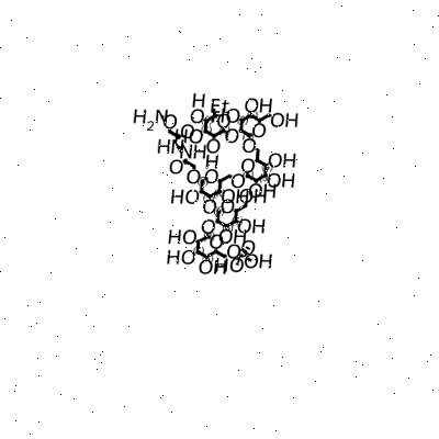 CCC1O[C@@H](OC2[C@@H](OCC3O[C@H](OCC4O[C@@H](OCC(=O)NNC(=O)CON)C(O)[C@@H](O[C@@H]5OC(CO)[C@@H](O)[C@H](O)C5O[C@H]5OC(COP(=O)(O)O)[C@@H](O)[C@H](O)C5O)[C@@H]4O)C(O)[C@@H](O)[C@@H]3O)OC(CO)[C@@H](O)[C@@H]2O)C(O)[C@@H](O)[C@@H]1O